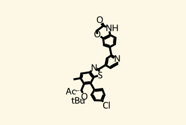 CC(=O)[C@@H](OC(C)(C)C)c1c(C)cc2nc(-c3ccnc(-c4ccc5c(c4)OCC(=O)N5)c3)sc2c1-c1ccc(Cl)cc1